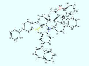 c1ccc(-c2ccc3c(c2)sc2c(N(c4ccc(-c5cccc6ccccc56)cc4)c4cccc([Si]5(c6ccccc6)c6ccccc6Oc6ccccc65)c4)cccc23)cc1